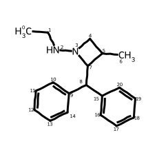 CCNN1CC(C)C1C(c1ccccc1)c1ccccc1